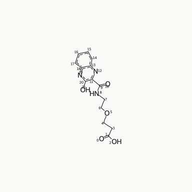 O=C(O)CCOCCNC(=O)c1nc2ccccc2nc1O